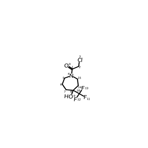 O=C(CCl)N1CCCC(O)(C(F)(F)F)CC1